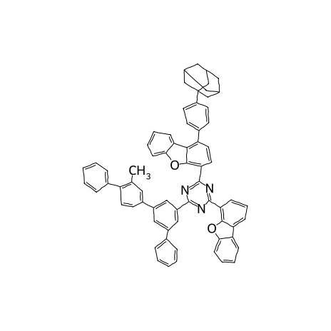 Cc1cc(-c2cc(-c3ccccc3)cc(-c3nc(-c4cccc5c4oc4ccccc45)nc(-c4ccc(-c5ccc(C67CC8CC(CC(C8)C6)C7)cc5)c5c4oc4ccccc45)n3)c2)ccc1-c1ccccc1